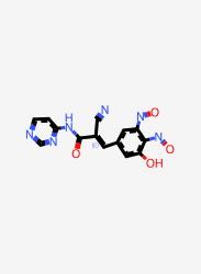 N#C/C(=C\c1cc(O)c(N=O)c(N=O)c1)C(=O)Nc1ccncn1